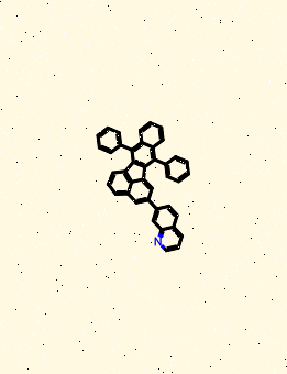 c1ccc(-c2c3c(c(-c4ccccc4)c4ccccc24)-c2cc(-c4ccc5cccnc5c4)cc4cccc-3c24)cc1